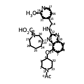 CC(=O)N1CCC(Oc2cccc3nc(NCc4ccnc(C)c4)n([C@@H]4CCCCN(C(=O)O)C4)c23)CC1